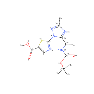 COC(=O)c1cnc(-n2nc(C)nc2C(C)NC(=O)OC(C)(C)C)s1